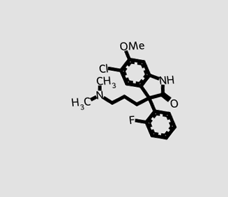 COc1cc2c(cc1Cl)C(CCCN(C)C)(c1ccccc1F)C(=O)N2